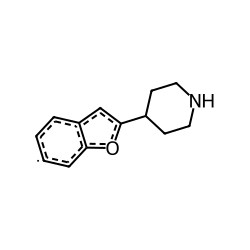 [c]1ccc2cc(C3CCNCC3)oc2c1